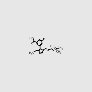 CCc1ncn(COCC[Si](C)(C)C)c1-c1cc(F)cc(C(=O)O)c1